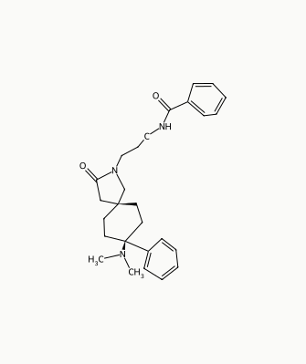 CN(C)[C@]1(c2ccccc2)CC[C@@]2(CC1)CC(=O)N(CCCNC(=O)c1ccccc1)C2